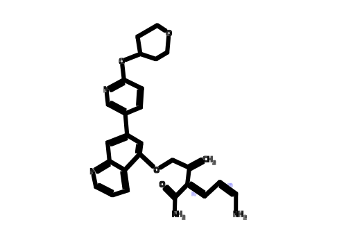 C=C(COc1cc(-c2ccc(OC3CCOCC3)nc2)cc2ncccc12)/C(=C\C=C/N)C(N)=O